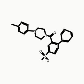 Cc1ccc(N2CCN(C(=O)c3cc(S(C)(=O)=O)ccc3-c3ccccc3)CC2)cc1